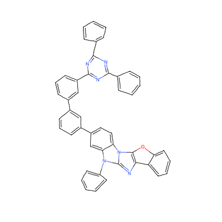 c1ccc(-c2nc(-c3ccccc3)nc(-c3cccc(-c4cccc(-c5ccc6c(c5)n(-c5ccccc5)c5nc7c8ccccc8oc7n65)c4)c3)n2)cc1